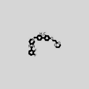 Cc1cc(OCCC2OCCCO2)ccc1-c1ccc(Cn2ccc3nc(-c4cccc(F)c4F)nc-3c2)cc1